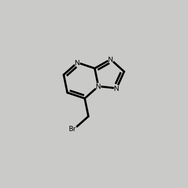 BrCc1ccnc2ncnn12